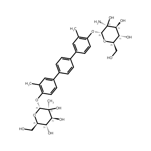 Cc1cc(-c2ccc(-c3ccc(O[C@H]4O[C@H](CO)[C@@H](O)[C@H](O)[C@]4(N)O)c(C)c3)cc2)ccc1O[C@H]1O[C@H](CO)[C@@H](O)[C@H](O)[C@]1(C)O